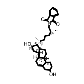 C[C@H](CCC[C@@H](C)[C@H]1[C@@H](O)C[C@H]2[C@@H]3CC=C4CC(O)CC[C@]4(C)[C@H]3CC[C@]12C)CN1C(=O)c2ccccc2C1=O